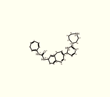 O=C(NC1=CCC=CC=C1)NC1C=C2CC=C(C3C=CN=C(N4CCCNCC4)N3)C=NC2=CC1